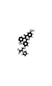 CC1=C(c2cccc(O)c2)C(c2ccc(OCC(C(F)F)N3CCCC3)cc2)Oc2ccc(O)cc21